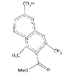 COC(=O)c1c(C)cc2cc(C(=O)O)ccc2c1C